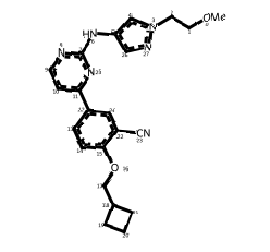 COCCn1cc(Nc2nccc(-c3ccc(OCC4CCC4)c(C#N)c3)n2)cn1